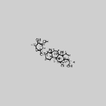 C[C@H](O)[C@H]1CC[C@]2(N)[C@@H]3CC[C@@H]4C[C@@H](O[C@@H]5C[C@H](O)[C@H](O)[C@@H](C)O5)CC[C@]4(C)[C@H]3C[C@@H](O)[C@]12C